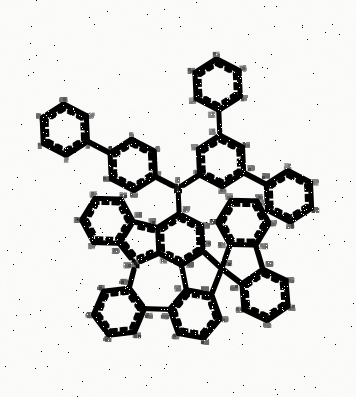 c1ccc(-c2ccc(N(c3cc(-c4ccccc4)cc(-c4ccccc4)c3)c3cc4c5c6c3c3ccccc3n6-c3ccccc3-c3cccc(c3-5)C43c4ccccc4-c4ccccc43)cc2)cc1